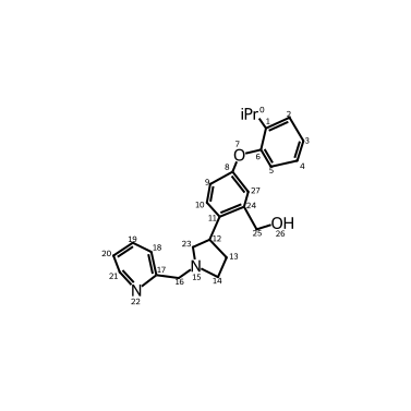 CC(C)c1ccccc1Oc1ccc(C2CCN(Cc3ccccn3)C2)c(CO)c1